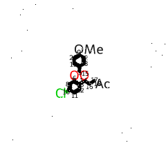 COc1ccc(COc2cc(Cl)ccc2C(=O)CCC(C)=O)cc1